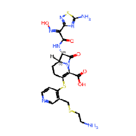 NCCSCc1cnccc1SC1=C(C(=O)O)N2C(=O)[C@@H](NC(=O)C(=NO)c3nsc(N)n3)[C@H]2CC1